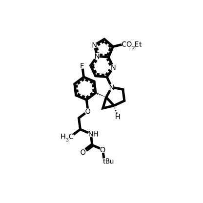 CCOC(=O)c1cnn2ccc(N3CC[C@H]4C[C@]43c3cc(F)ccc3OCC(C)NC(=O)OC(C)(C)C)nc12